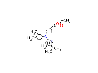 C=CC(=O)OCCc1ccc(N(C(=C)/C=C\C(C)=C(C)C)C2C=C(C)C(C)=CC2)cc1